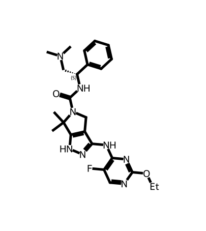 CCOc1ncc(F)c(Nc2n[nH]c3c2CN(C(=O)N[C@H](CN(C)C)c2ccccc2)C3(C)C)n1